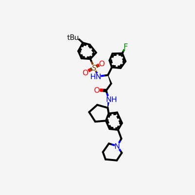 CC(C)(C)c1ccc(S(=O)(=O)N[C@H](CC(=O)N[C@@H]2CCCc3cc(CN4CCCCC4)ccc32)c2ccc(F)cc2)cc1